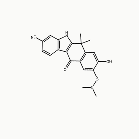 CN(C)Sc1cc2c(cc1O)C(C)(C)c1[nH]c3cc(C#N)ccc3c1C2=O